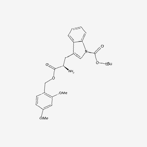 COc1ccc(COC(=O)[C@H](N)Cc2cn(C(=O)OC(C)(C)C)c3ccccc23)c(OC)c1